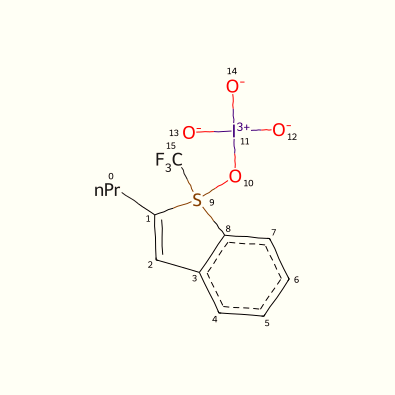 CCCC1=Cc2ccccc2S1(O[I+3]([O-])([O-])[O-])C(F)(F)F